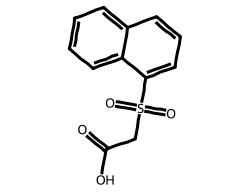 O=C(O)CS(=O)(=O)c1cccc2ccccc12